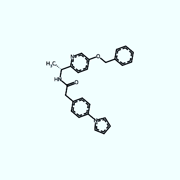 C[C@@H](NC(=O)Cc1ccc(-n2cccc2)cc1)c1ccc(OCc2ccccc2)cn1